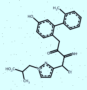 CCC(C(=N)C(=O)Cc1ccc(O)cc1-c1ccccc1C)c1ccn(CC(C)C(=O)O)n1